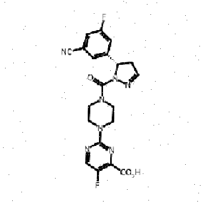 N#Cc1cc(F)cc([C@@H]2CC=NN2C(=O)N2CCN(c3ncc(F)c(C(=O)O)n3)CC2)c1